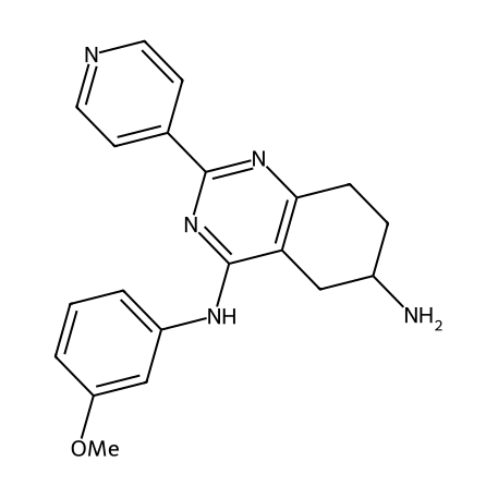 COc1cccc(Nc2nc(-c3ccncc3)nc3c2CC(N)CC3)c1